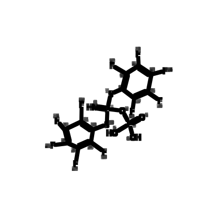 N=P(OP(=O)(O)O)(Sc1c(F)c(F)c(F)c(F)c1F)Sc1c(F)c(F)c(F)c(F)c1F